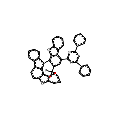 FC(F)(F)c1cc(-c2nc(-c3ccccc3)nc(-c3ccccc3)n2)c2c(oc3ccccc32)c1-n1c2ccccc2c2ccc3oc4ccccc4c3c21